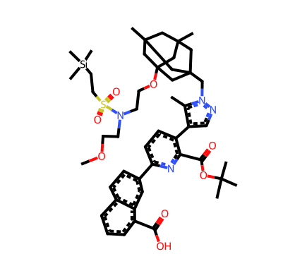 COCCN(CCOC12CC3(C)CC(C)(CC(Cn4ncc(-c5ccc(-c6ccc7cccc(C(=O)O)c7c6)nc5C(=O)OC(C)(C)C)c4C)(C3)C1)C2)S(=O)(=O)CC[Si](C)(C)C